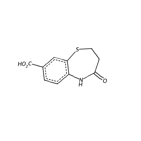 O=C1CCSc2cc(C(=O)O)ccc2N1